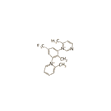 Cc1c(-[n+]2ccccc2C)cc(C(F)(F)F)cc1-[n+]1cnccc1C